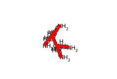 NCCOCCOCCNC(=O)NCCN(CCNC(=O)NCCOCCOCCN)C(=O)CCCCCCCCCCC(=O)N(CCNC(=O)NCCOCCOCCN)CCNC(=O)NCCOCCOCCN